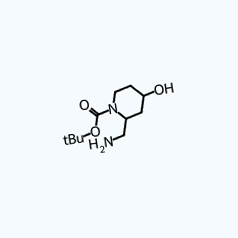 CC(C)(C)OC(=O)N1CCC(O)CC1CN